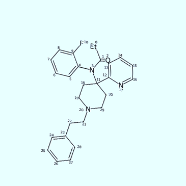 CCC(=O)N(c1ccccc1F)C1(c2ccccn2)CCN(CCc2ccccc2)CC1